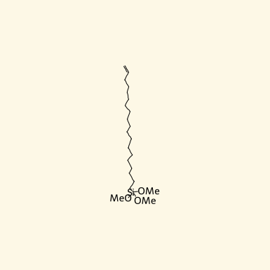 C=CCCCCCCCCCCCCCCCCC[Si](OC)(OC)OC